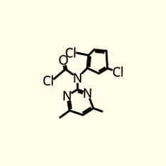 Cc1cc(C)nc(N(C(=O)Cl)c2cc(Cl)ccc2Cl)n1